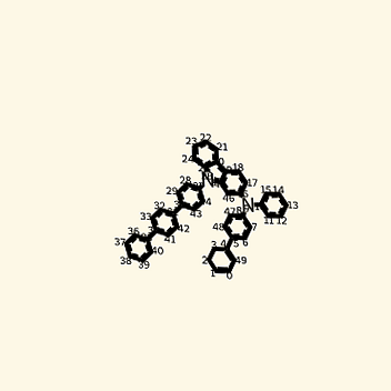 C1=CCCC(c2ccc(N(c3ccccc3)c3ccc4c5ccccc5n(-c5ccc(-c6ccc(-c7ccccc7)cc6)cc5)c4c3)cc2)=C1